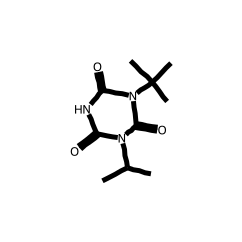 CC(C)n1c(=O)[nH]c(=O)n(C(C)(C)C)c1=O